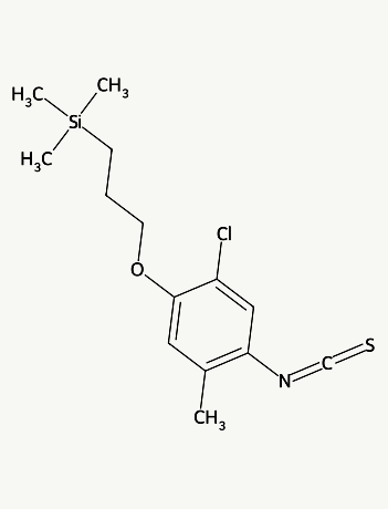 Cc1cc(OCCC[Si](C)(C)C)c(Cl)cc1N=C=S